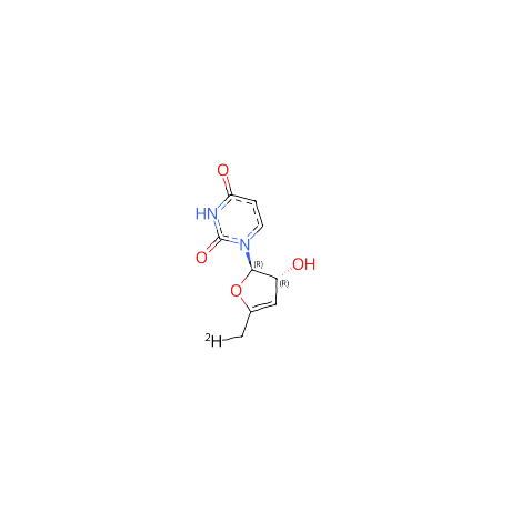 [2H]CC1=C[C@@H](O)[C@H](n2ccc(=O)[nH]c2=O)O1